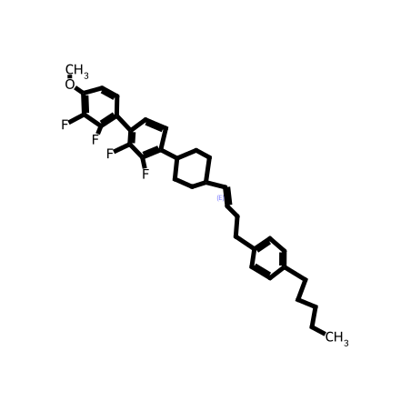 CCCCCc1ccc(CC/C=C/C2CCC(c3ccc(-c4ccc(OC)c(F)c4F)c(F)c3F)CC2)cc1